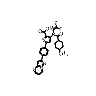 COC(=O)c1sc(-c2ccc(-c3cc4ncccn4n3)cc2)cc1N(CC(F)F)C(=O)C1CCC(C)CC1